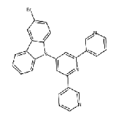 Brc1ccc2c(c1)c1ccccc1n2-c1cc(-c2cccnc2)nc(-c2cccnc2)c1